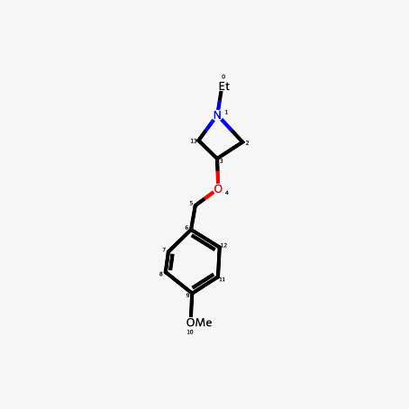 CCN1CC(OCc2ccc(OC)cc2)C1